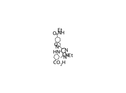 CCNC(=O)C1CCC2(CC1)CC(c1cnc3c(c(C)nn3CC)c1NC1CCC(C(=O)O)CC1)=NO2